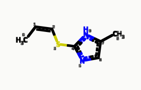 C/C=C\Sc1ncc(C)[nH]1